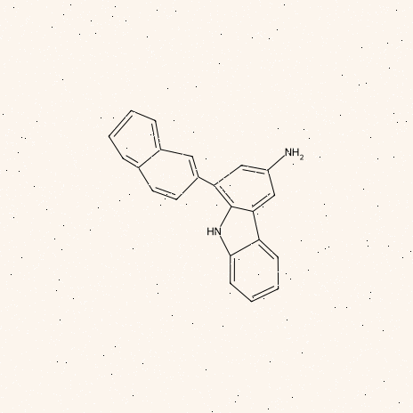 Nc1cc(-c2ccc3ccccc3c2)c2[nH]c3ccccc3c2c1